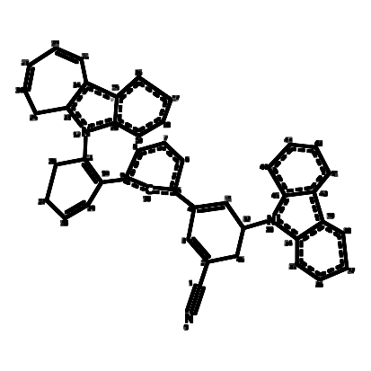 N#CC1=CC(c2cccc(C3=C(n4c5c(c6ccccc64)C=CC=CC5)CCC=C3)c2)=CC(n2c3ccccc3c3ccccc32)C1